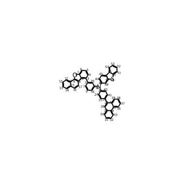 c1cc(-c2cccc3oc4c5ccccc5ccc4c23)cc(N(c2ccc(-c3cc4ccccc4c4ccccc34)cc2)c2ccc3c(c2)sc2ccccc23)c1